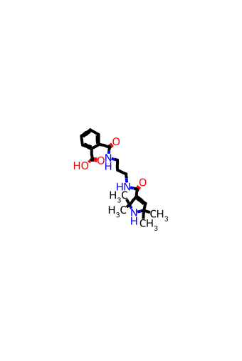 CC1(C)C=C(C(=O)NCCCNC(=O)c2ccccc2C(=O)O)C(C)(C)N1